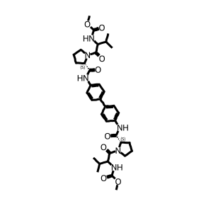 COC(=O)NC(C(=O)N1CCC[C@H]1C(=O)Nc1ccc(-c2ccc(NC(=O)[C@@H]3CCCN3C(=O)C(NC(=O)OC)C(C)C)cc2)cc1)C(C)C